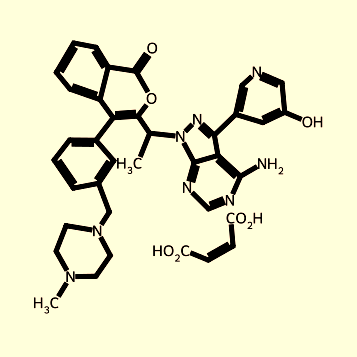 CC(c1oc(=O)c2ccccc2c1-c1cccc(CN2CCN(C)CC2)c1)n1nc(-c2cncc(O)c2)c2c(N)ncnc21.O=C(O)/C=C\C(=O)O